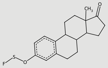 CC12CCC3c4ccc(OSF)cc4CCC3C1CCC2=O